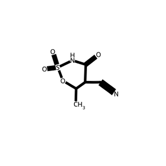 CC1OS(=O)(=O)NC(=O)C1C#N